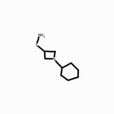 NSC1CN(C2CCCCC2)C1